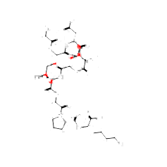 CC(C)C[C@H](NC(=O)[C@H](C)NC(=O)[C@H](CC(=O)O)NC(=O)[C@H](CCC(N)=O)NC(=O)CN)C(=O)N[C@@H](C)C(=O)NCC(=O)N1CCC[C@H]1C(=O)N[C@@H](CCCCN)C(=O)O